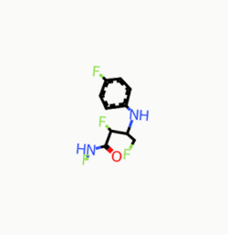 O=C(NF)C(F)C(CF)Nc1ccc(F)cc1